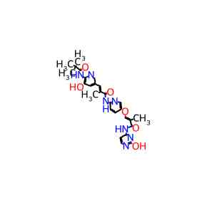 C/C(=C\c1cnc(NC(=O)C(C)(C)C)c(O)c1)C(=O)Nc1ccc(O/C=C(\C)C(=O)Nc2ccnc(O)n2)cn1